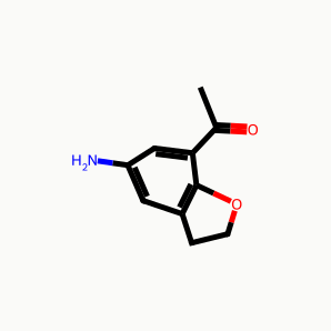 CC(=O)c1cc(N)cc2c1OCC2